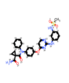 CS(=O)(=O)Nc1cccc(Nc2nccc(Oc3ccc(N(C(=O)C4(C(N)=O)CC4)c4ccccc4)cc3)n2)c1